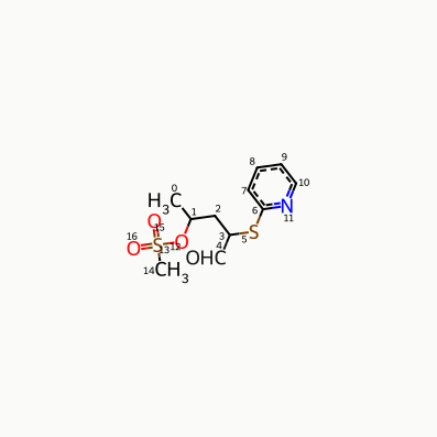 CC(CC(C=O)Sc1ccccn1)OS(C)(=O)=O